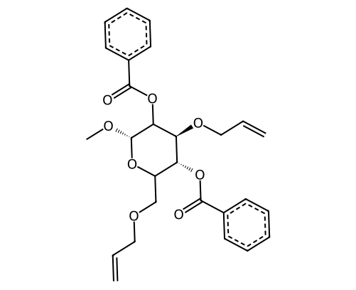 C=CCOCC1O[C@H](OC)C(OC(=O)c2ccccc2)[C@@H](OCC=C)[C@@H]1OC(=O)c1ccccc1